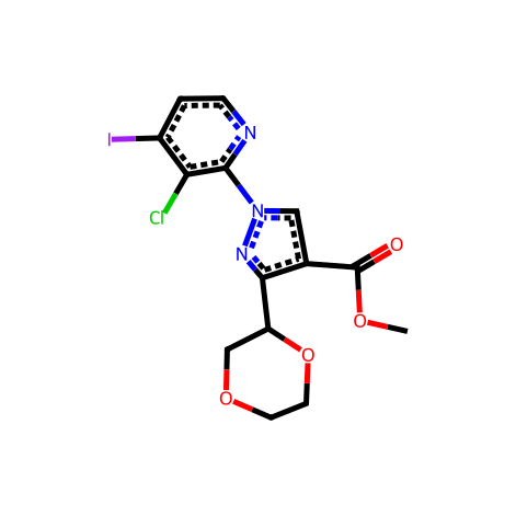 COC(=O)c1cn(-c2nccc(I)c2Cl)nc1C1COCCO1